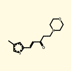 Cc1csc(C=CC(=O)CCN2CCOCC2)c1